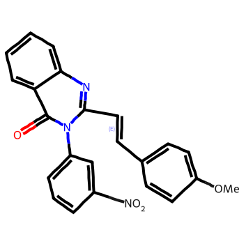 COc1ccc(/C=C/c2nc3ccccc3c(=O)n2-c2cccc([N+](=O)[O-])c2)cc1